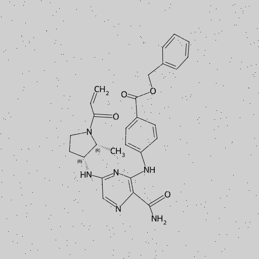 C=CC(=O)N1CC[C@@H](Nc2cnc(C(N)=O)c(Nc3ccc(C(=O)OCc4ccccc4)cc3)n2)[C@H]1C